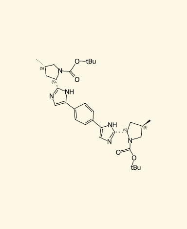 C[C@@H]1C[C@@H](c2ncc(-c3ccc(-c4cnc([C@@H]5C[C@H](C)CN5C(=O)OC(C)(C)C)[nH]4)cc3)[nH]2)N(C(=O)OC(C)(C)C)C1